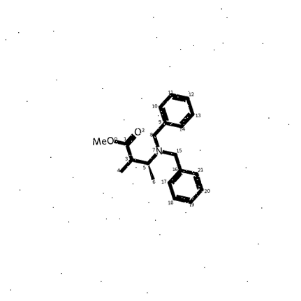 COC(=O)C(C)[C@H](C)N(Cc1ccccc1)Cc1ccccc1